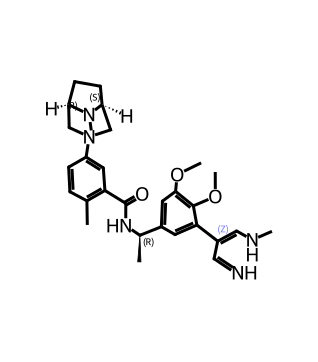 CN/C=C(\C=N)c1cc([C@@H](C)NC(=O)c2cc(N3C[C@H]4CC[C@@H](C3)N4C)ccc2C)cc(OC)c1OC